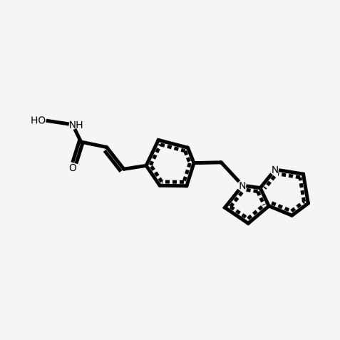 O=C(/C=C/c1ccc(Cn2ccc3cccnc32)cc1)NO